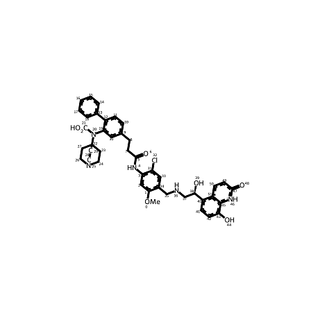 COc1cc(NC(=O)CCc2ccc(-c3ccccc3)c(N(C(=O)O)C34CCN(CC3)CC4)c2)c(Cl)cc1CNC[C@@H](O)c1ccc(O)c2[nH]c(=O)ccc12